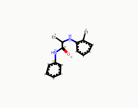 CCc1ccccc1NC(CC)C(=O)Nc1ccccc1